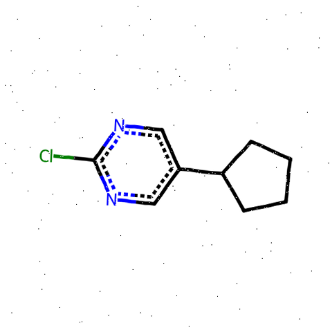 Clc1ncc(C2CCCC2)cn1